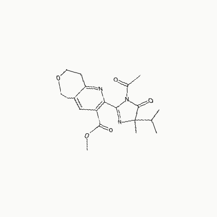 COC(=O)c1cc2c(nc1C1=NC(C)(C(C)C)C(=O)N1C(C)=O)CCOC2